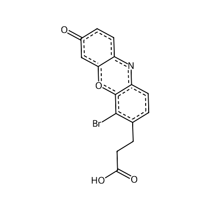 O=C(O)CCc1ccc2nc3ccc(=O)cc-3oc2c1Br